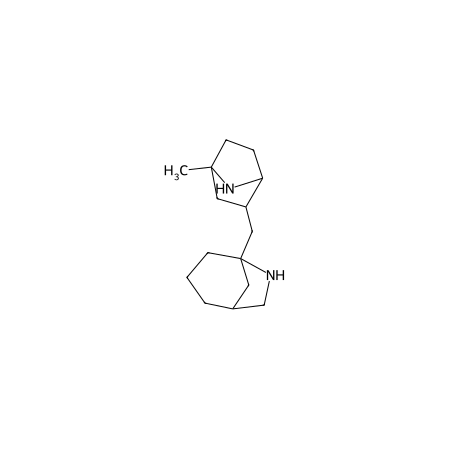 CC12CCC(N1)C(CC13CCCC(CN1)C3)C2